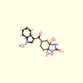 Cn1cc(C(=O)C2CCC3(O)NC(=O)NC3(O)C2)c2ccccc21